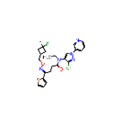 CCN(C(=O)CCC(=NOCC1CC(F)(F)C1)c1cccs1)c1cn(-c2cccnc2)nc1Cl